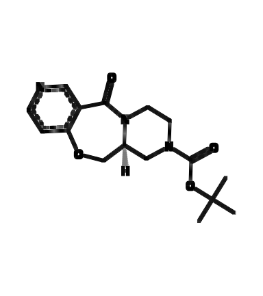 CC(C)(C)OC(=O)N1CCN2C(=O)c3cnccc3OC[C@@H]2C1